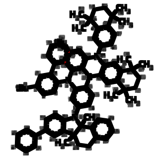 CC(C)(C)c1ccc(N2c3cc(N4c5ccc(-c6ccccc6)cc5C5(C)CCc6ccccc6C45C)ccc3B3c4cc5c(cc4N(c4ccc6c(c4)C(C)(C)CCC6(C)C)c4cc(C(C)(C)C)cc2c43)C(C)(C)CCC5(C)C)c(-c2ccccc2)c1